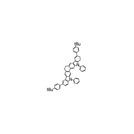 CC(C)(C)c1ccc(C2=Cc3c(n(-c4ccccc4)c4cc5c(cc34)CCc3cc4c6cc(-c7ccc(C(C)(C)C)cc7)ccc6n(-c6ccccc6)c4cc3-5)CC2)cc1